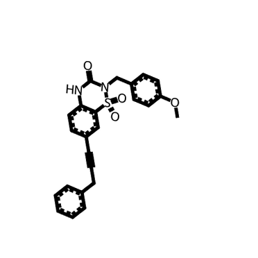 COc1ccc(CN2C(=O)Nc3ccc(C#CCc4ccccc4)cc3S2(=O)=O)cc1